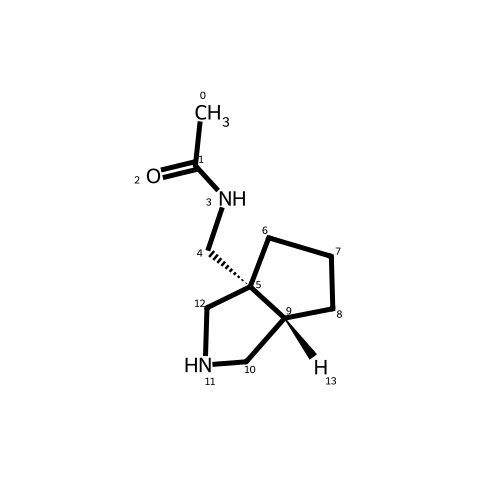 CC(=O)NC[C@]12CCC[C@@H]1CNC2